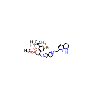 COC(=O)C[C@H](CN1CC2(CCN(CCc3ccc4c(n3)NCCC4)C2)C1)c1cc(Br)cc(C(C)(C)C)c1